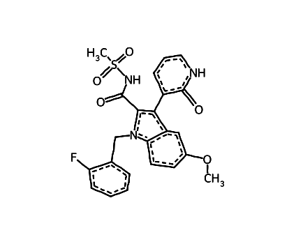 COc1ccc2c(c1)c(-c1ccc[nH]c1=O)c(C(=O)NS(C)(=O)=O)n2Cc1ccccc1F